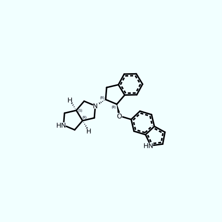 c1ccc2c(c1)C[C@@H](N1C[C@H]3CNC[C@H]3C1)[C@@H]2Oc1ccc2cc[nH]c2c1